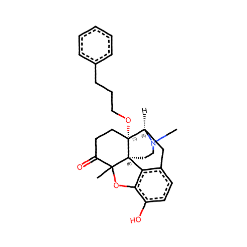 CN1CC[C@]23c4c5ccc(O)c4OC2(C)C(=O)CC[C@@]3(OCCCc2ccccc2)[C@H]1C5